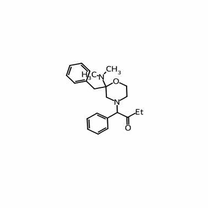 CCC(=O)C(c1ccccc1)N1CCOC(Cc2ccccc2)(N(C)C)C1